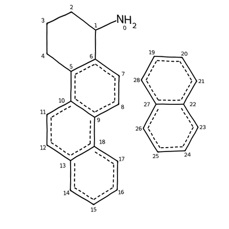 NC1CCCc2c1ccc1c2ccc2ccccc21.c1ccc2ccccc2c1